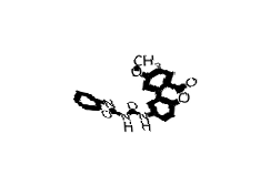 COc1ccc2c(=O)oc3ccc(NC(=O)Nc4nc5ccccc5o4)cc3c2c1